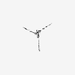 CCCCCCCCCCCCCCCCOC(=O)c1cc(C(=O)OCCCCCCCCCCCCCCCC)c[n+](CCCCCCCCCCCCCCCC)c1